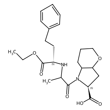 CCOC(=O)[C@H](CCc1ccccc1)NC(C)C(=O)N1C2CCCOC2C[C@H]1C(=O)O